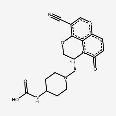 N#Cc1cnc2ccc(=O)n3c2c1OC[C@H]3CN1CCC(NC(=O)O)CC1